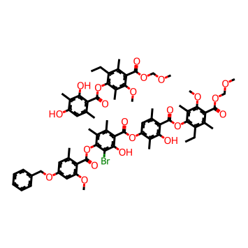 CCc1c(C)c(C(=O)OCOC)c(OC)c(C)c1OC(=O)c1c(C)cc(O)c(C)c1O.CCc1c(C)c(C(=O)OCOC)c(OC)c(C)c1OC(=O)c1c(C)cc(OC(=O)c2c(C)c(C)c(OC(=O)c3c(C)cc(OCc4ccccc4)cc3OC)c(Br)c2O)c(C)c1O